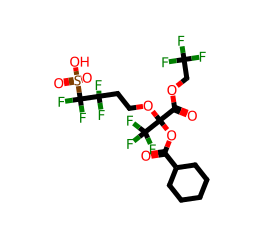 O=C(OC(OCCC(F)(F)C(F)(F)S(=O)(=O)O)(C(=O)OCC(F)(F)F)C(F)(F)F)C1CCCCC1